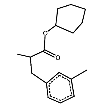 Cc1cccc(CC(C)C(=O)OC2CCCCC2)c1